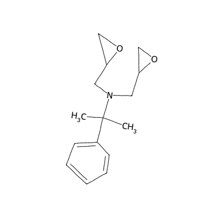 CC(C)(c1ccccc1)N(CC1CO1)CC1CO1